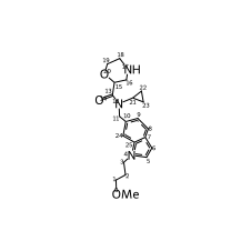 COCCCn1ccc2ccc(CN(C(=O)C3CNCCO3)C3CC3)cc21